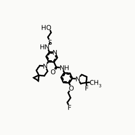 CC1(F)CCN(c2cc(NC(=O)c3cnc(NSCCO)cc3N3CCC4(CC3)CC4)ccc2OCCCF)C1